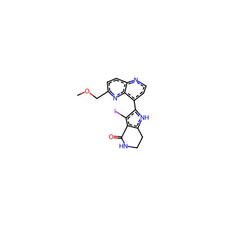 COCc1ccc2nccc(-c3[nH]c4c(c3I)C(=O)NCC4)c2n1